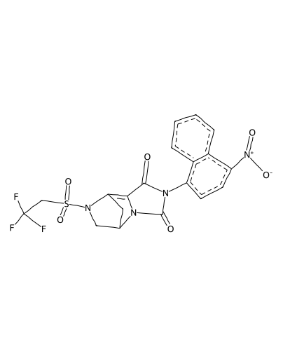 O=C1C2=C3CC(CN3S(=O)(=O)CC(F)(F)F)N2C(=O)N1c1ccc([N+](=O)[O-])c2ccccc12